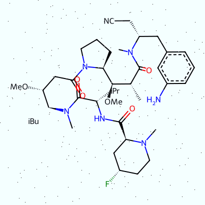 CC[C@H](C)[C@@H]([C@@H](CC(=O)N1CCC[C@H]1[C@H](OC)[C@@H](C)C(=O)N(C)[C@H](CC#N)Cc1cccc(N)c1)OC)N(C)C(=O)[C@@H](NC(=O)[C@@H]1C[C@@H](F)CCN1C)C(C)C